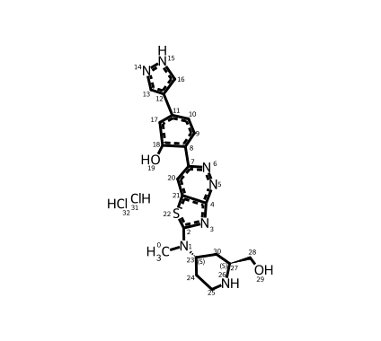 CN(c1nc2nnc(-c3ccc(-c4cn[nH]c4)cc3O)cc2s1)[C@H]1CCN[C@H](CO)C1.Cl.Cl